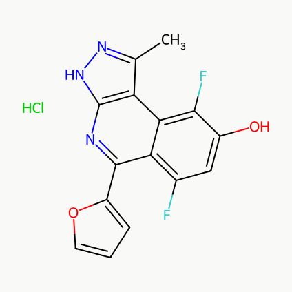 Cc1n[nH]c2nc(-c3ccco3)c3c(F)cc(O)c(F)c3c12.Cl